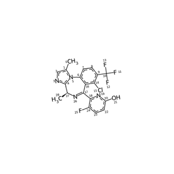 Cc1cnc2n1-c1ccc(C(F)(F)F)c(Cl)c1C(c1nc(O)ccc1F)=N[C@H]2C